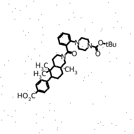 CC(C)(C)OC(=O)N1CCN(c2ccccc2C(=O)N2CCC3C(C)(C)C(c4ccc(C(=O)O)cc4)CC[C@]3(C)C2)CC1